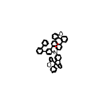 c1ccc(-c2ccccc2-c2ccc(N(c3ccc(-c4cccc5oc6ccccc6c45)cc3)c3ccc4c(c3)C3(c5ccccc5Oc5ccccc53)c3ccccc3-4)c(-c3ccccc3)c2)cc1